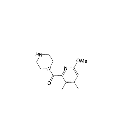 COc1cc(C)c(C)c(C(=O)N2CCNCC2)n1